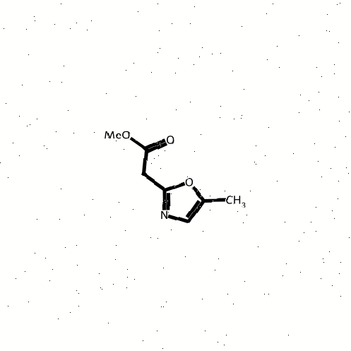 COC(=O)Cc1ncc(C)o1